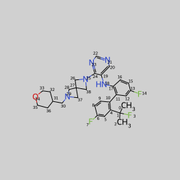 CC(C)(F)c1cc(F)ccc1-c1cc(F)ccc1Nc1cncnc1N1CC2(CN(CC3CCOCC3)C2)C1